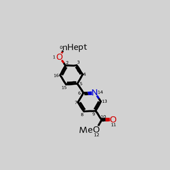 CCCCCCCOc1ccc(-c2ccc(C(=O)OC)cn2)cc1